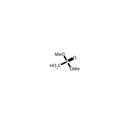 COP(=O)(OC)C(=O)O